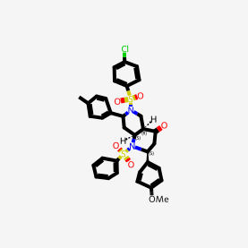 COc1ccc([C@@H]2CC(=O)[C@@H]3CN(S(=O)(=O)c4ccc(Cl)cc4)C(c4ccc(C)cc4)C[C@@H]3N2S(=O)(=O)c2ccccc2)cc1